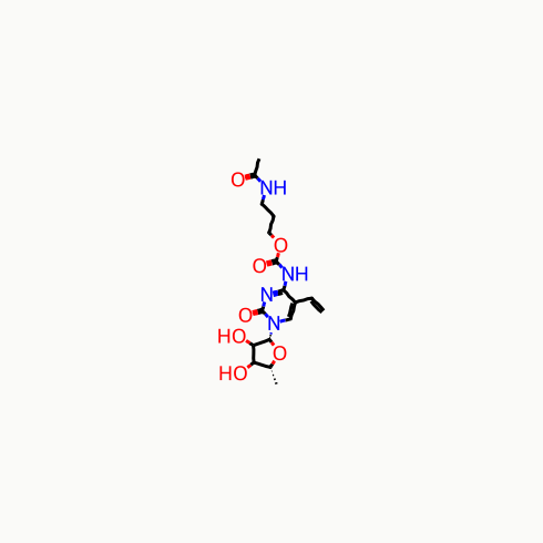 C=Cc1cn([C@@H]2O[C@H](C)C(O)C2O)c(=O)nc1NC(=O)OCCCNC(C)=O